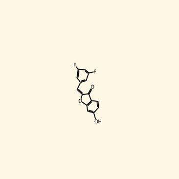 O=C1C(=Cc2cc(F)cc(F)c2)Oc2cc(O)ccc21